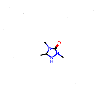 CC1NN(C)C(=O)N1C